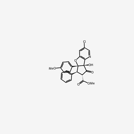 COC(=O)[C@H]1C(=O)[C@@]2(O)c3ncc(Cl)cc3O[C@@]2(c2ccc(OC)cc2)[C@@H]1c1ccccc1